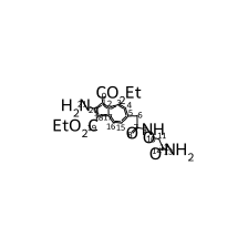 CCOC(=O)c1c2ccc(CC(=O)NOCC(N)=O)ccc-2c(C(=O)OCC)c1N